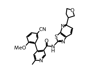 COc1ccc(C#N)cc1-c1cc(C)ncc1C(=O)Nc1nc2ccc(C3CCOC3)nc2s1